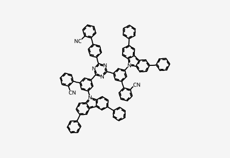 N#Cc1ccccc1-c1ccc(-c2nc(-c3cc(-c4ccccc4C#N)cc(-n4c5ccc(-c6ccccc6)cc5c5cc(-c6ccccc6)ccc54)c3)nc(-c3cc(-c4ccccc4C#N)cc(-n4c5ccc(-c6ccccc6)cc5c5cc(-c6ccccc6)ccc54)c3)n2)cc1